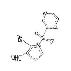 O=Cc1ccn(S(=O)(=O)c2cccnc2)c1Br